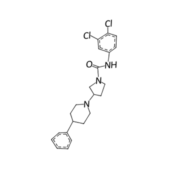 O=C(Nc1ccc(Cl)c(Cl)c1)N1CCC(N2CCC(c3ccccc3)CC2)C1